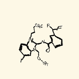 CCCOCn1/c(=N\C(=O)c2cccc(C(F)F)c2)n(CCCOC(C)=O)c2ccc(I)cc21